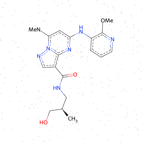 CNc1cc(Nc2cccnc2OC)nc2c(C(=O)NC[C@@H](C)CO)cnn12